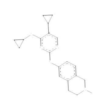 CN1CCc2cc(Nc3ncc(C4CC4)c(NC4CC4)n3)ccc2C1